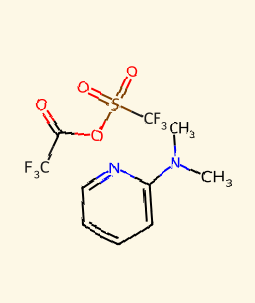 CN(C)c1ccccn1.O=C(OS(=O)(=O)C(F)(F)F)C(F)(F)F